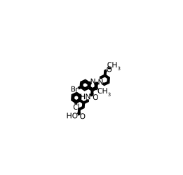 COCC1CCCN(c2nc3ccc(Br)cc3c(C(=O)NCC(CCC(=O)O)c3ccccc3Cl)c2C)C1